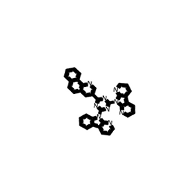 c1ccc2c(c1)ccc1cc(-c3nc(-n4c5ccccc5c5cccnc54)nc(-n4c5ncccc5c5cccnc54)n3)cnc12